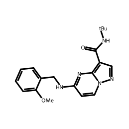 COc1ccccc1CNc1ccn2ncc(C(=O)NC(C)(C)C)c2n1